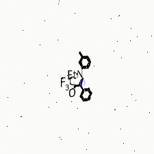 CCN(/C=C(\C(=O)C(F)(F)F)c1ccccc1)c1cccc(C)c1